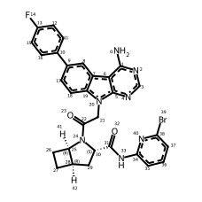 Nc1ncnc2c1c1cc(-c3ccc(F)cc3)ccc1n2CC(=O)N1[C@@H]2CC[C@@H]2C[C@H]1C(=O)Nc1cccc(Br)n1